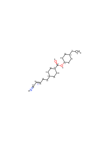 CCC1CCC(OC(=O)C2CCC(CC/C=C/C#N)CC2)CC1